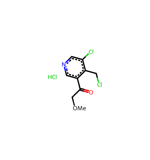 COCC(=O)c1cncc(Cl)c1CCl.Cl